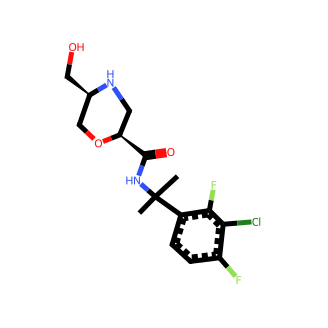 CC(C)(NC(=O)[C@@H]1CN[C@H](CO)CO1)c1ccc(F)c(Cl)c1F